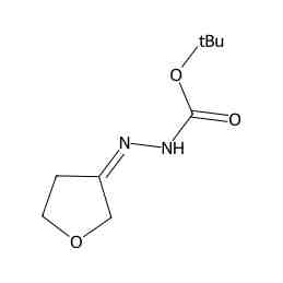 CC(C)(C)OC(=O)NN=C1CCOC1